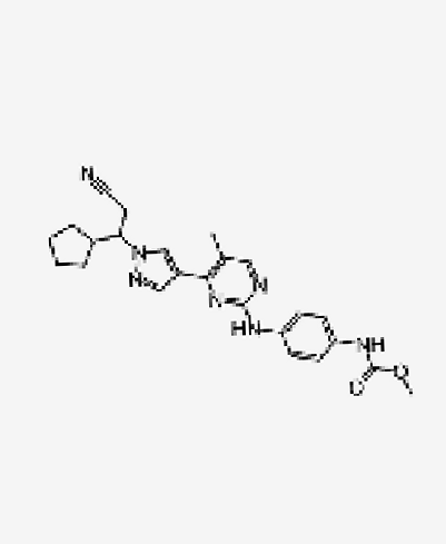 COC(=O)Nc1ccc(Nc2ncc(C)c(-c3cnn(C(CC#N)C4CCCC4)c3)n2)cc1